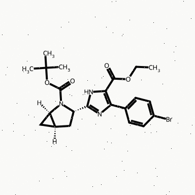 CCOC(=O)c1[nH]c([C@@H]2C[C@H]3C[C@H]3N2C(=O)OC(C)(C)C)nc1-c1ccc(Br)cc1